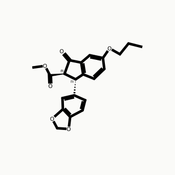 CCCOc1ccc2c(c1)C(=O)[C@H](C(=O)OC)[C@H]2c1ccc2c(c1)OCO2